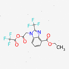 CCOC(=O)c1cccc2c1nc(C(F)(F)F)n2CC(=O)OC(=O)C(F)(F)F